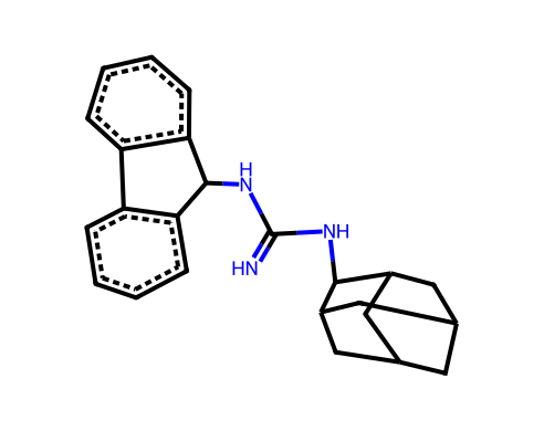 N=C(NC1c2ccccc2-c2ccccc21)NC1C2CC3CC(C2)CC1C3